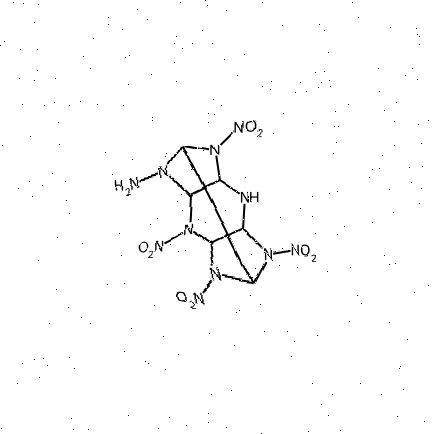 NN1C2C3N([N+](=O)[O-])C4NC(C1N([N+](=O)[O-])C4N3[N+](=O)[O-])N2[N+](=O)[O-]